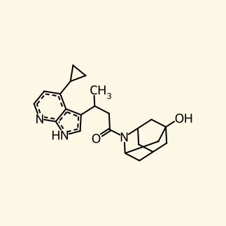 CC(CC(=O)N1C2CC3CC1CC(O)(C3)C2)c1c[nH]c2nccc(C3CC3)c12